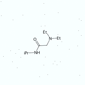 CCN(CC)CC(=O)NC(C)C